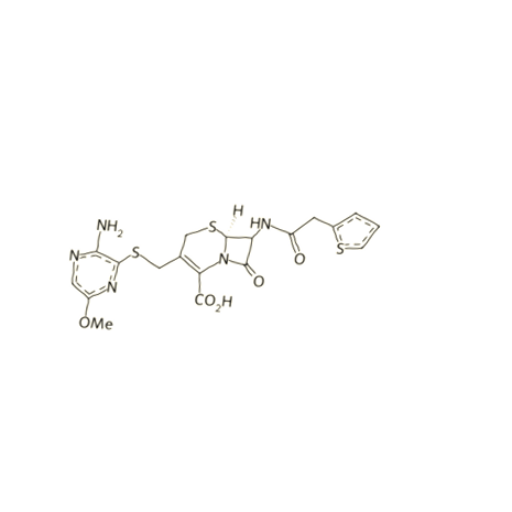 COc1cnc(N)c(SCC2=C(C(=O)O)N3C(=O)C(NC(=O)Cc4cccs4)[C@@H]3SC2)n1